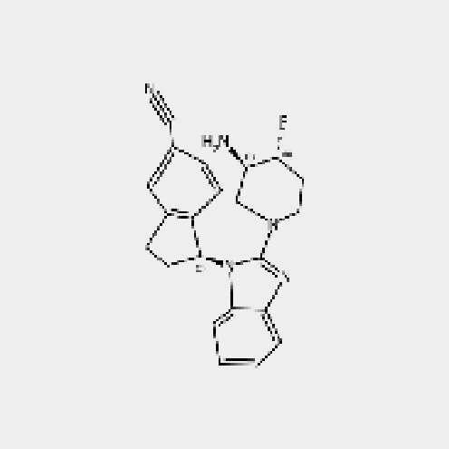 N#Cc1ccc2c(c1)CC[C@@H]2n1c(N2CC[C@@H](F)[C@H](N)C2)nc2ccccc21